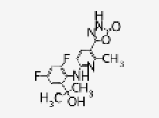 Cc1nc(Nc2c(F)cc(F)cc2C(C)(C)O)ccc1-c1n[nH]c(=O)o1